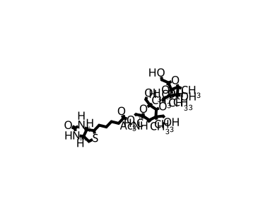 CC(=O)NC1(C)C(C)(CO)C(OC[C@]2(C)OC3(CO)OC(C)(C2(C)O)[C@@]3(C)O)C(C)(CO)O[C@@]1(C)COC(=O)CCCCC1SC[C@@H]2NC(=O)N[C@H]12